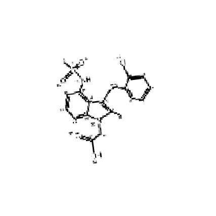 Cc1c(Sc2ccccc2Cl)c2c(NS(C)(=O)=O)cccc2n1CC(=O)O